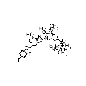 CC(C)(C)OC(=O)N(CCCCC(=O)[Si](C)(C)C(C)(C)C)c1nc(C(=O)O)c(CCCOc2ccc(I)cc2F)s1